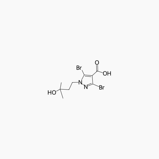 CC(C)(O)CCn1nc(Br)c(C(=O)O)c1Br